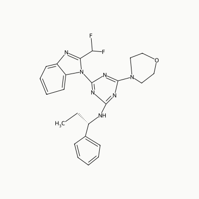 CC[C@H](Nc1nc(N2CCOCC2)nc(-n2c(C(F)F)nc3ccccc32)n1)c1ccccc1